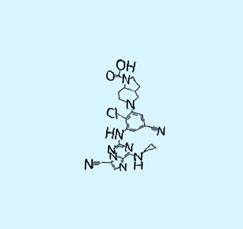 N#Cc1cc(Nc2nc(NC3CC3)c3ncc(C#N)n3n2)c(Cl)c(N2CCC3C(CCN3C(=O)O)C2)c1